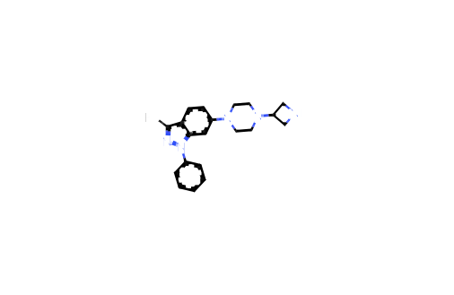 CCc1nn(-c2ccccc2)c2cc(N3CCN(C4CNC4)CC3)ccc12